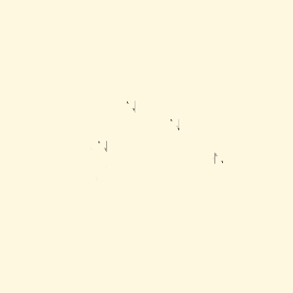 [Pt].c1ccncc1.c1ccncc1.c1ccncc1.c1ccncc1